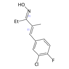 CCC(=N\O)/C(C)=C/c1ccc(F)c(Cl)c1